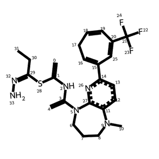 C=C(NC(=C)N1CCCN(C)c2ccc(C3=CCC=CC(C(F)(F)F)=C3)nc21)S/C(CC)=N\N